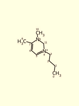 CCCC[N+]1=CC=C(C)N(C)C1